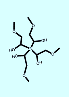 COCC(O)[Si](C(O)COC)(C(O)COC)C(O)COC